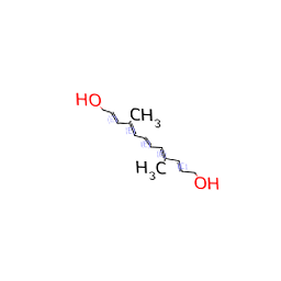 CC(/C=C/CO)=C\C=C\C=C(C)\C=C\CO